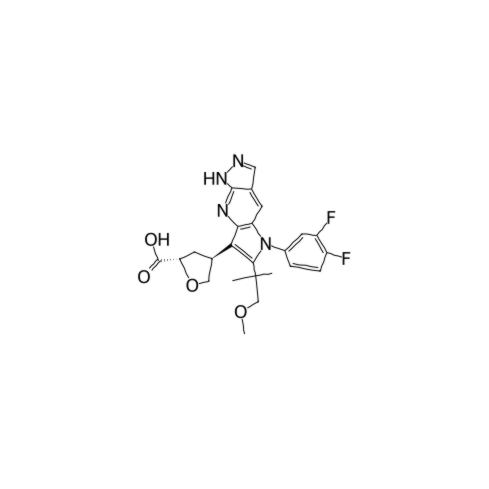 COCC(C)(C)c1c([C@H]2CO[C@H](C(=O)O)C2)c2nc3[nH]ncc3cc2n1-c1ccc(F)c(F)c1